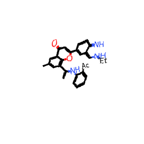 CCN/C=C1/C=C(c2cc(=O)c3cc(C)cc(C(C)Nc4ccccc4C(C)=O)c3o2)C=CC1=N